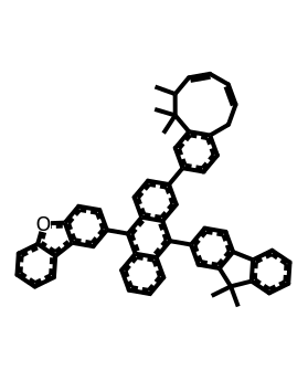 CC1/C=C\C=C/Cc2ccc(-c3ccc4c(-c5ccc6oc7ccccc7c6c5)c5ccccc5c(-c5ccc6c(c5)C(C)(C)c5ccccc5-6)c4c3)cc2C1(C)C